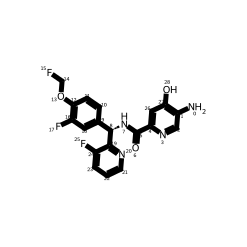 Nc1cnc(C(=O)N[C@@H](c2ccc(OCF)c(F)c2)c2ncccc2F)cc1O